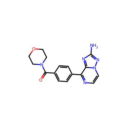 Nc1nc2c(-c3ccc(C(=O)N4CCOCC4)cc3)nccn2n1